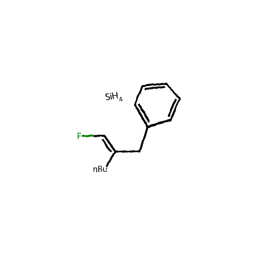 CCCCC(=CF)Cc1ccccc1.[SiH4]